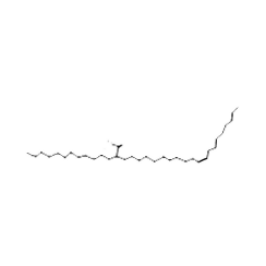 CCCCCCCC/C=C\CCCCCCCCCCC(CCCCCCCCCCCC)C(N)=O